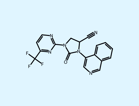 N#CC1CN(c2nccc(C(F)(F)F)n2)C(=O)N1c1cncc2ccccc12